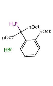 Br.CCCCCCCCc1ccccc1C(P)(CCCCCCCC)CCCCCCCC